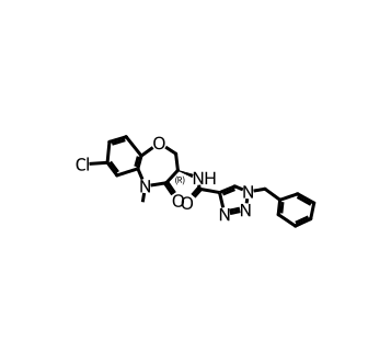 CN1C(=O)[C@H](NC(=O)c2cn(Cc3ccccc3)nn2)COc2ccc(Cl)cc21